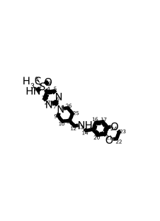 C[S@](=N)(=O)c1cnc(N2CCC(CNCc3ccc4c(c3)OCCO4)CC2)nc1